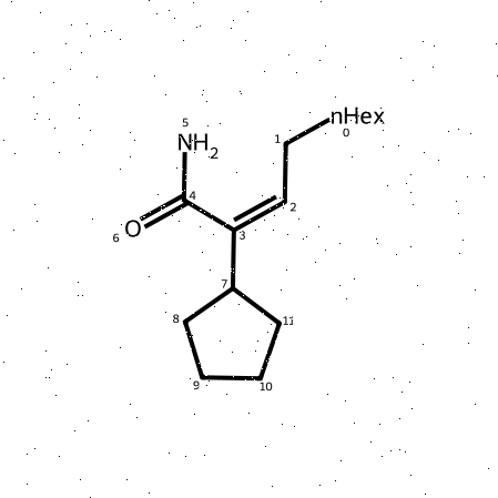 CCCCCCCC=C(C(N)=O)C1CCCC1